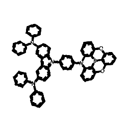 c1ccc(N(c2ccccc2)c2ccc3c(c2)c2cc(N(c4ccccc4)c4ccccc4)ccc2n3-c2ccc(N3c4cccc5c4B4c6c(cccc6Oc6cccc3c64)O5)cc2)cc1